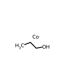 CCCO.[Co]